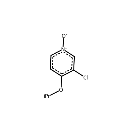 CC(C)Oc1cc[n+]([O-])cc1Cl